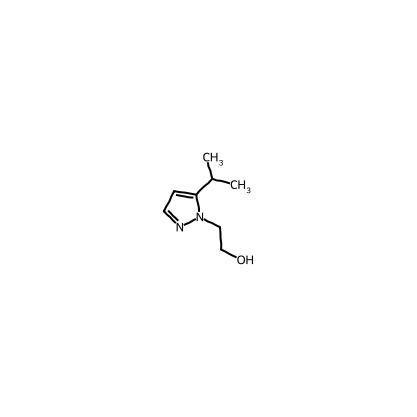 CC(C)c1ccnn1CCO